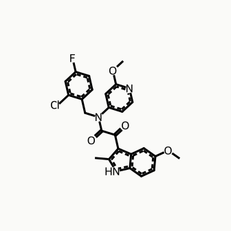 COc1ccc2[nH]c(C)c(C(=O)C(=O)N(Cc3ccc(F)cc3Cl)c3ccnc(OC)c3)c2c1